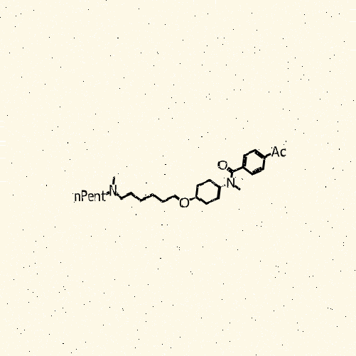 CCCCCN(C)CCCCCCO[C@H]1CC[C@H](N(C)C(=O)c2ccc(C(C)=O)cc2)CC1